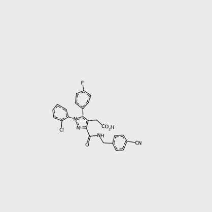 N#Cc1ccc(CNC(=O)c2nn(-c3ccccc3Cl)c(-c3ccc(F)cc3)c2CC(=O)O)cc1